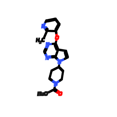 Cc1ncccc1Oc1ncnc2c1ccn2C1CCN(C(=O)OCC(C)C)CC1